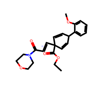 CCOC(=O)C1(/C=C/C(=O)N2CCOCC2)C=CC(c2ccccc2OC)C=C1